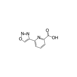 O=C(O)c1cccc(-c2conn2)n1